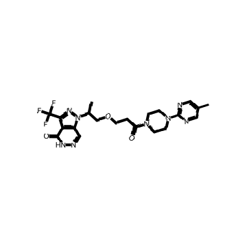 Cc1cnc(N2CCN(C(=O)CCOCC(C)n3nc(C(F)(F)F)c4c(=O)[nH]ncc43)CC2)nc1